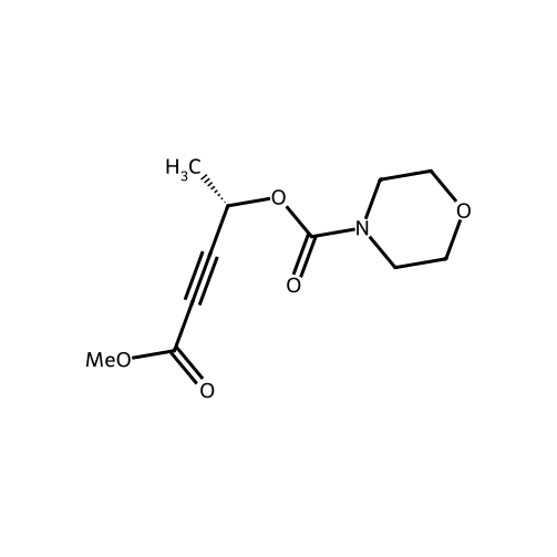 COC(=O)C#C[C@H](C)OC(=O)N1CCOCC1